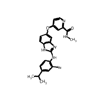 CNC(=O)c1cc(Oc2ccc3[nH]c(Nc4ccc(C(C)C)cc4Br)nc3c2)ccn1